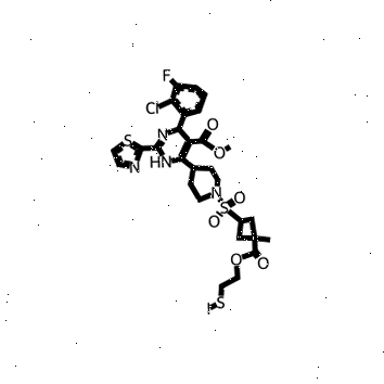 COC(=O)C1=C(C2CCN(S(=O)(=O)C3CC(C)(C(=O)OCCSI)C3)CC2)NC(c2nccs2)=NC1c1cccc(F)c1Cl